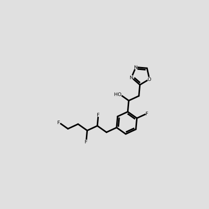 OC(Cc1nnco1)c1cc(CC(F)C(F)CCF)ccc1F